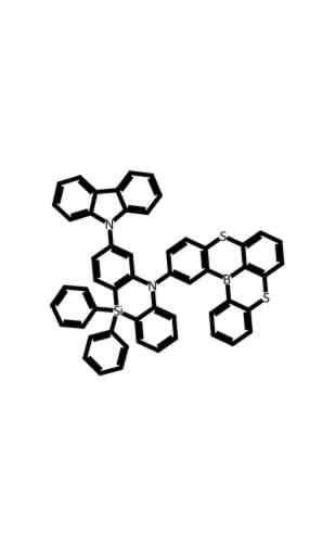 c1ccc([Si]2(c3ccccc3)c3ccccc3N(c3ccc4c(c3)B3c5ccccc5Sc5cccc(c53)S4)c3cc(-n4c5ccccc5c5ccccc54)ccc32)cc1